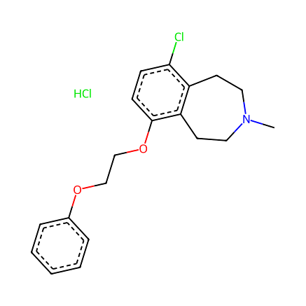 CN1CCc2c(Cl)ccc(OCCOc3ccccc3)c2CC1.Cl